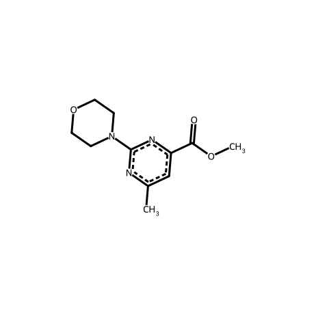 COC(=O)c1cc(C)nc(N2CCOCC2)n1